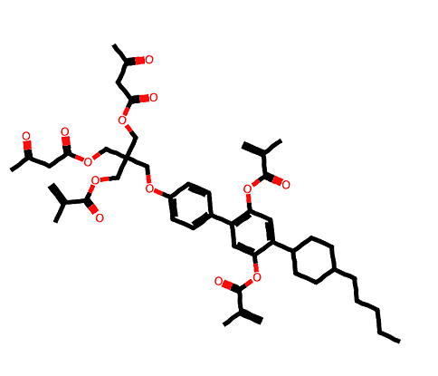 C=C(C)C(=O)OCC(COC(=O)CC(C)=O)(COC(=O)CC(C)=O)COc1ccc(-c2cc(OC(=O)C(=C)C)c(C3CCC(CCCCC)CC3)cc2OC(=O)C(=C)C)cc1